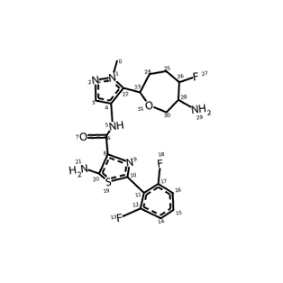 Cn1ncc(NC(=O)c2nc(-c3c(F)cccc3F)sc2N)c1C1CCC(F)C(N)CO1